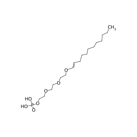 CCCCCCCCCCC=COCCOCCOCCOP(=O)(O)O